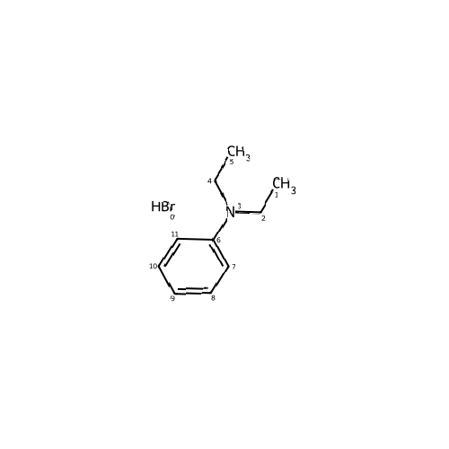 Br.CCN(CC)c1ccccc1